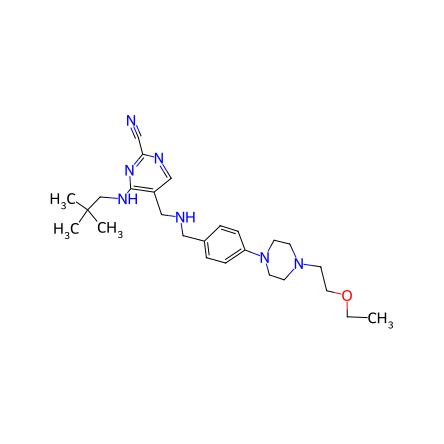 CCOCCN1CCN(c2ccc(CNCc3cnc(C#N)nc3NCC(C)(C)C)cc2)CC1